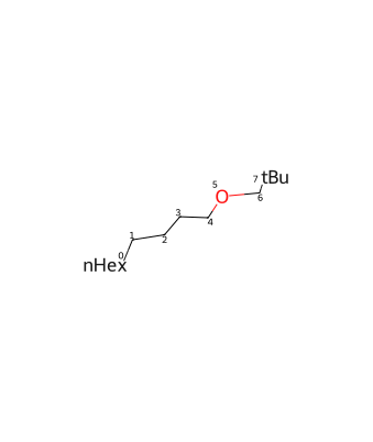 CCCCCCCCCCOCC(C)(C)C